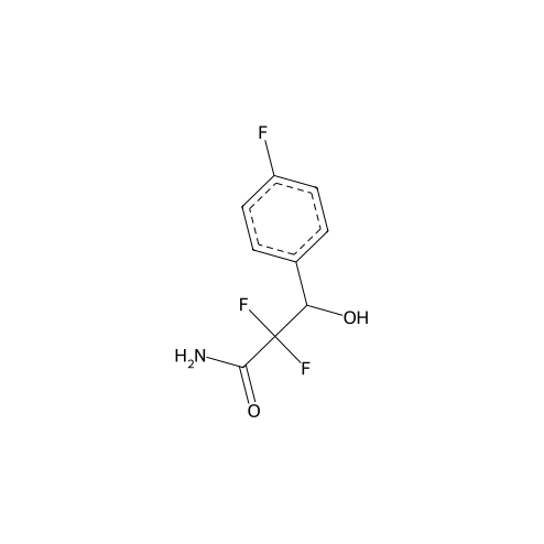 NC(=O)C(F)(F)C(O)c1ccc(F)cc1